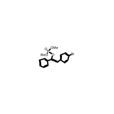 COP(=O)(OC)OC(=Cc1ccc(Br)cc1)c1ccccc1